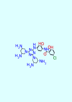 N[C@@H]1C[C@H](N)CN(c2nc(Nc3ccc(NC(=O)c4cc(Cl)ccc4O)c(O)c3)nc(N3C[C@H](N)C[C@H](N)C3)n2)C1